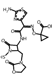 Nc1nc(/C(=N/OC2(C(=O)O)CC2)C(=O)NC2C(=O)N(S)C2CN2CCOC2=O)cs1